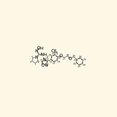 N/C(=N\O)N1CCC[C@H]1c1nc(-c2ccc(OCCOCc3ccccc3)c(C(F)(F)F)c2)no1